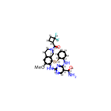 COc1cc2c(cc1Nc1ncc(C(N)=O)c(Nc3ccccc3Br)n1)CN(C(=O)C1CCC1(F)F)CC2